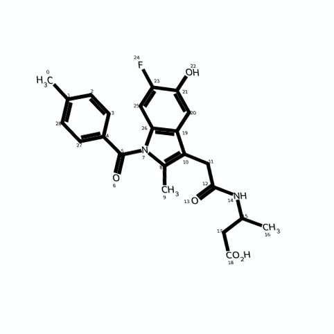 Cc1ccc(C(=O)n2c(C)c(CC(=O)NC(C)CC(=O)O)c3cc(O)c(F)cc32)cc1